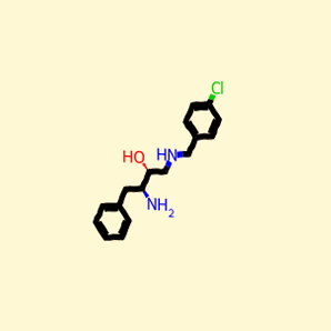 N[C@@H](Cc1ccccc1)[C@H](O)CNCc1ccc(Cl)cc1